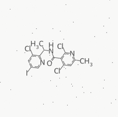 Cc1cc(Cl)c(C(=O)NC(C)c2ncc(I)cc2Cl)c(Cl)n1